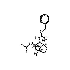 O=C(N[C@H]1[C@H]2CC[C@@H](C[C@H]1OC(F)F)N2)OCc1ccccc1